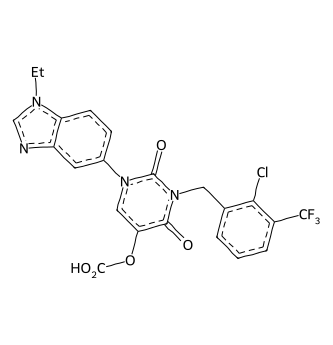 CCn1cnc2cc(-n3cc(OC(=O)O)c(=O)n(Cc4cccc(C(F)(F)F)c4Cl)c3=O)ccc21